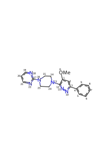 COc1cc(-c2ccccc2)nnc1N1CCN(c2ncccn2)CC1